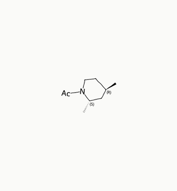 CC(=O)N1CC[C@@H](C)C[C@@H]1C